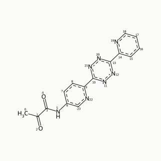 CC(=O)C(=O)Nc1ccc(-c2nnc(-c3ccccn3)nn2)nc1